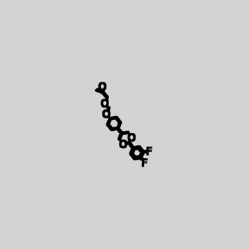 Fc1ccc(C2OCC(C3CCC(OCOCC4CO4)CC3)CO2)cc1F